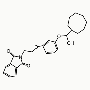 O=C1c2ccccc2C(=O)N1CCOc1cccc(OC(O)C2CCCCCCC2)c1